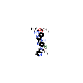 COc1ccc2c(Nc3ccc(N(Cc4cccnc4)C(C)=O)c(Cl)c3)c(C#N)cnc2c1NC(C)=O